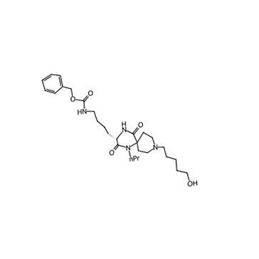 CCCN1C(=O)[C@H](CCCCNC(=O)OCc2ccccc2)NC(=O)C12CCN(CCCCCO)CC2